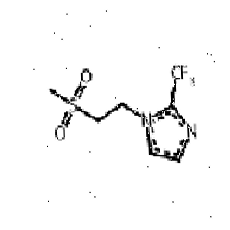 CS(=O)(=O)CCn1ccnc1C(F)(F)F